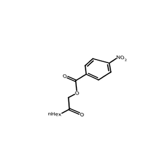 CCCCCCC(=O)COC(=O)c1ccc([N+](=O)[O-])cc1